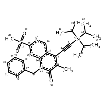 Cc1c(C#C[Si](C(C)C)(C(C)C)C(C)C)c2cnc(S(C)(=O)=O)nc2n(Cc2ccccn2)c1=O